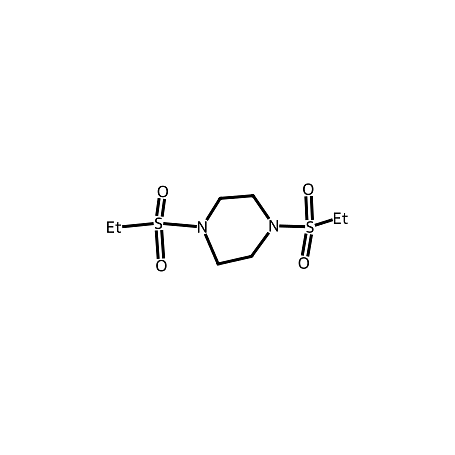 CCS(=O)(=O)N1CCN(S(=O)(=O)CC)CC1